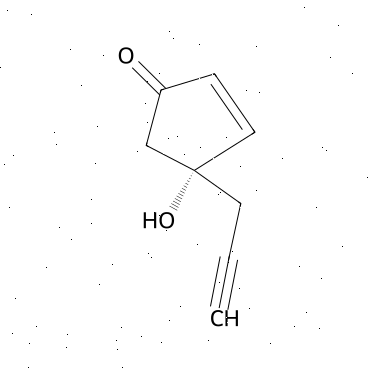 C#CC[C@]1(O)C=CC(=O)C1